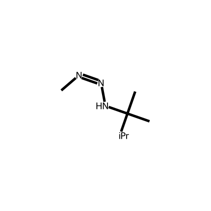 C/N=N\NC(C)(C)C(C)C